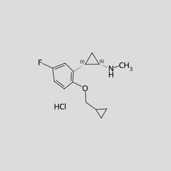 CN[C@H]1C[C@H]1c1cc(F)ccc1OCC1CC1.Cl